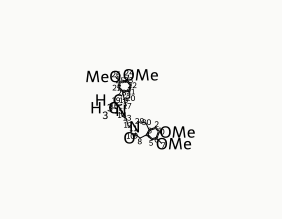 COc1cc2c(cc1OC)CC(=O)N(CCCN(C)CC1(C)Cc3cc(OC)c(OC)cc31)CC2